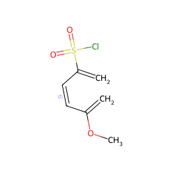 C=C(/C=C\C(=C)S(=O)(=O)Cl)OC